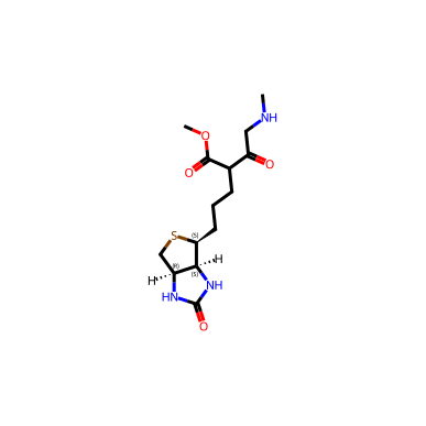 CNCC(=O)C(CCC[C@@H]1SC[C@@H]2NC(=O)N[C@@H]21)C(=O)OC